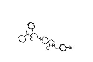 CN(C(=O)C(CCN1CCC2(CC1)CCN(Cc1ccc(Br)cc1)C2=O)c1ccccc1)C1CCCCC1